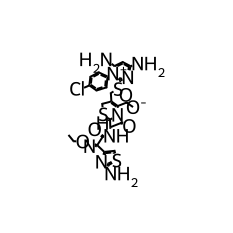 CCO/N=C(\C(=O)NC1C(=O)N2C(C(=O)[O-])=C(CSc3nc(N)cc(N)[n+]3-c3ccc(Cl)cc3)CS[C@H]12)c1csc(N)n1